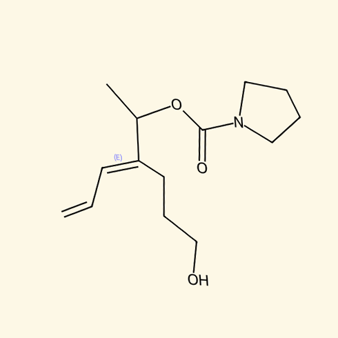 C=C/C=C(\CCCO)C(C)OC(=O)N1CCCC1